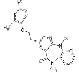 CCc1ccc(OCCc2cnc3c(c2)C(=O)N(C)c2cccnc2N3CC)c(C)c1